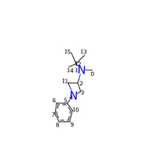 CN(C1CN(c2ccccc2)C1)C(C)(C)C